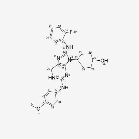 COc1ccc(NC2=Nc3c(nc(Nc4ccccc4F)n3[C@H]3CC[C@@H](O)CC3)CN2)cc1